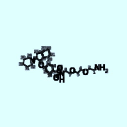 NCCOCCOCCNS(=O)(=O)c1ccc(O[C@H]2c3ccccc3C[C@@H]2N2CCCCC2)cc1